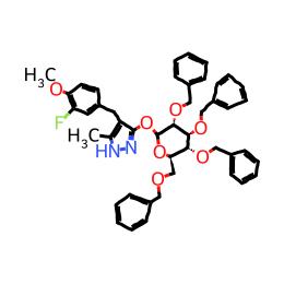 COc1ccc(Cc2c(OC3O[C@H](COCc4ccccc4)[C@@H](OCc4ccccc4)[C@H](OCc4ccccc4)[C@H]3OCc3ccccc3)n[nH]c2C)cc1F